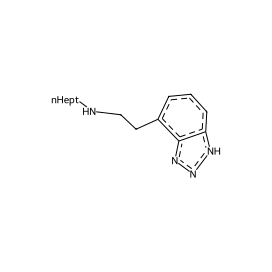 CCCCCCCNCCc1cccc2[nH]nnc12